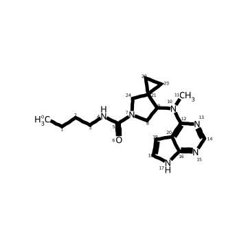 CCCCNC(=O)N1CC(N(C)c2ncnc3[nH]ccc23)C2(CC2)C1